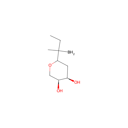 BC(C)(CC)C1C[C@@H](O)[C@@H](O)CO1